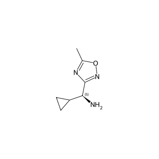 Cc1nc([C@@H](N)C2CC2)no1